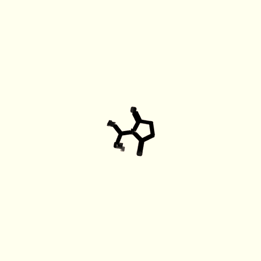 CC(=O)C(C)N1C(=O)CCC1=O